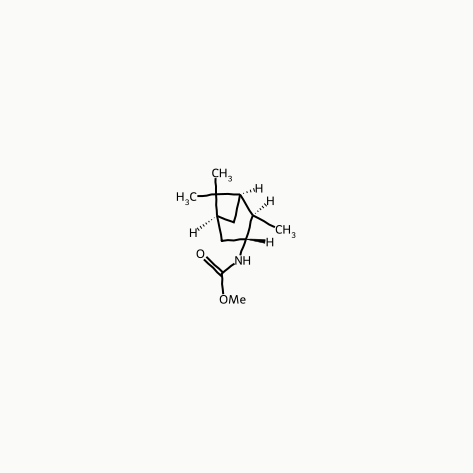 COC(=O)N[C@@H]1C[C@@H]2C[C@H]([C@H]1C)C2(C)C